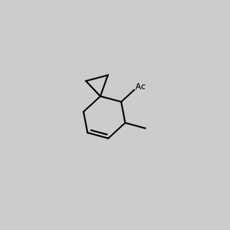 CC(=O)C1C(C)C=CCC12CC2